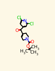 CC(C)(C)OC(=O)N1CC=C(C(=O)c2cc(Cl)nc(Cl)c2)CC1